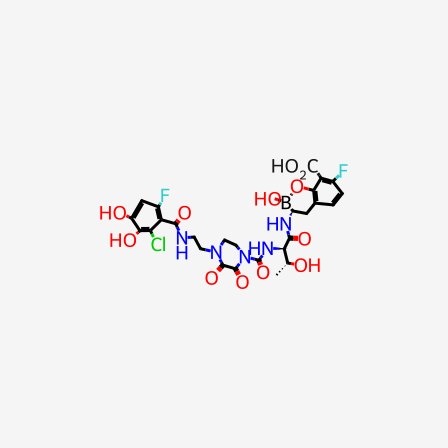 C[C@@H](O)[C@@H](NC(=O)N1CCN(CCNC(=O)c2c(F)cc(O)c(O)c2Cl)C(=O)C1=O)C(=O)N[C@H]1Cc2ccc(F)c(C(=O)O)c2OB1O